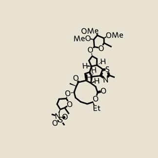 CC[C@H]1CCC[C@H](O[C@H]2CC[C@H](N(C)S(C)(=O)=O)C(C)O2)[C@@H](C)C(=O)C2=C[C@H]3[C@@H]4C[C@H](OC5OC(C)[C@H](OC)C(OC)[C@@H]5OC)C[C@H]4c4sc(C)nc4[C@H]3[C@@H]2CC(=O)O1